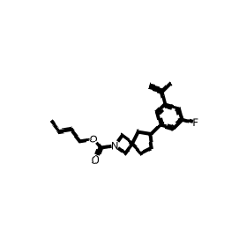 C=C(C)c1cc(F)cc(C2CCC3(C2)CN(C(=O)OCCCC)C3)c1